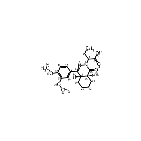 CCC(C(=O)O)N1N=C(c2ccc(OC)c(OC)c2)[C@H]2CCCC[C@H]2C1=O